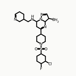 BC1C=NN2C(NCC3CCC=NC3)CC(C3CCN(S(=O)(=O)C4CCC(F)C(Cl)C4)CC3)=NC12